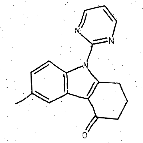 Cc1ccc2c(c1)c1c(n2-c2ncccn2)CCCC1=O